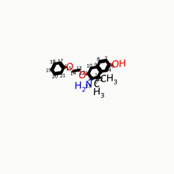 CC1(C)c2cc(O)ccc2CC(OCCOc2ccccc2)C1N